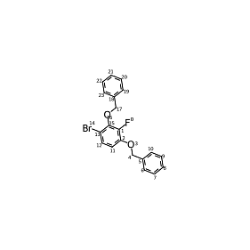 Fc1c(OCc2ccccc2)ccc(Br)c1OCc1ccccc1